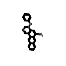 Nc1cc2c(c3cc4ccccc4cc13)C=NCN2Oc1ccccc1